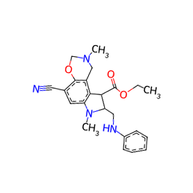 CCOC(=O)C1c2c(cc(C#N)c3c2CN(C)CO3)N(C)C1CNc1ccccc1